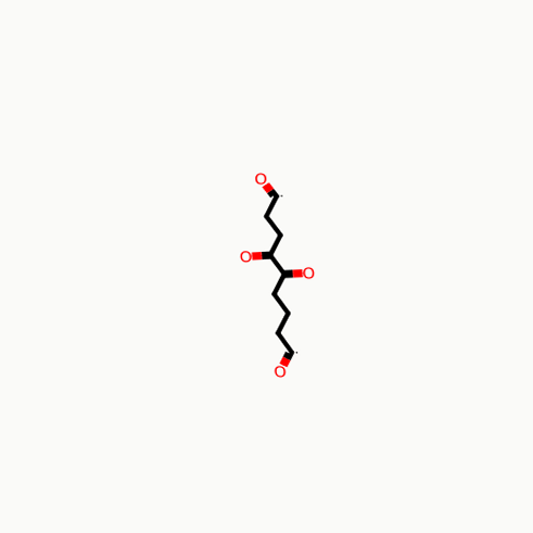 O=[C]CCCC(=O)C(=O)CC[C]=O